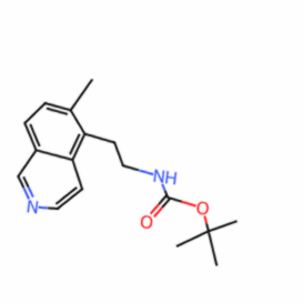 Cc1ccc2cnccc2c1CCNC(=O)OC(C)(C)C